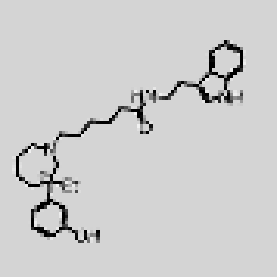 CC[C@@]1(c2cccc(O)c2)CCCCN(CCCCCC(=O)NCCc2c[nH]c3ccccc23)C1